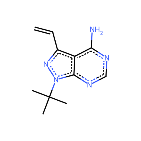 C=Cc1nn(C(C)(C)C)c2ncnc(N)c12